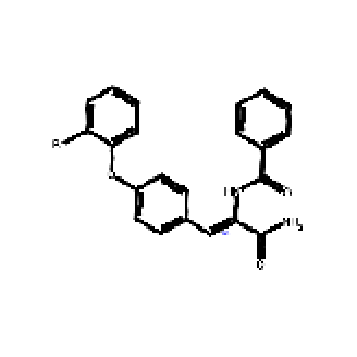 NC(=O)/C(=C/c1ccc(Oc2ccccc2Br)cc1)NC(=O)c1ccccc1